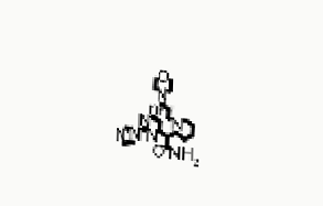 CCCc1cc(C(C(N)=O)C2CCCCN2CCCN2CCOCC2)nc(-n2ccnc2)n1